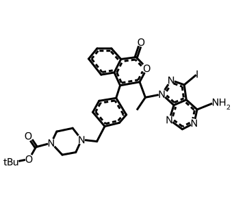 CC(c1oc(=O)c2ccccc2c1-c1ccc(CN2CCN(C(=O)OC(C)(C)C)CC2)cc1)n1nc(I)c2c(N)ncnc21